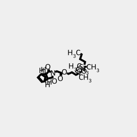 CCCC[Si](C)(C)O[Si](C)(C)CCCOC(=O)CN1C(=O)[C@@H]2[C@H](C1=O)[C@H]1C=C[C@@H]2C1